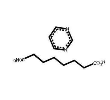 CCCCCCCCCCCCCCCC(=O)O.c1cncnc1